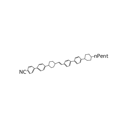 CCCCCC1CCC(c2ccc(-c3ccc(C=CC4CCC(c5ccc(-c6ccc(C#N)cc6)cc5)CC4)cc3)cc2)CC1